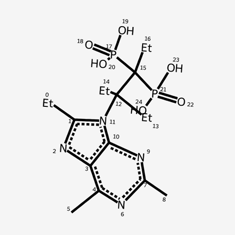 CCc1nc2c(C)nc(C)nc2n1C(CC)(CC)C(CC)(P(=O)(O)O)P(=O)(O)O